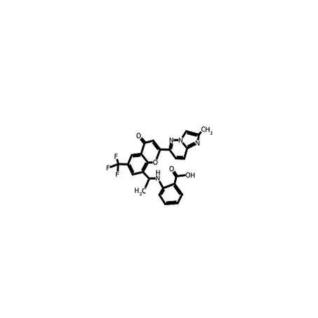 Cc1cn2nc(-c3cc(=O)c4cc(C(F)(F)F)cc(C(C)Nc5ccccc5C(=O)O)c4o3)ccc2n1